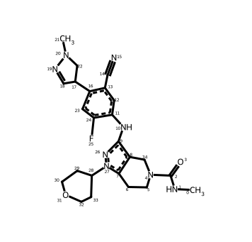 CNC(=O)N1CCc2c(c(Nc3cc(C#N)c(C4C=NN(C)C4)cc3F)nn2C2CCOCC2)C1